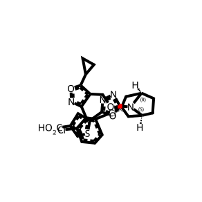 O=C(O)c1csc(-c2nnc(N3[C@@H]4CC[C@H]3C[C@@H](OCc3c(-c5c(Cl)cccc5Cl)noc3C3CC3)C4)o2)c1